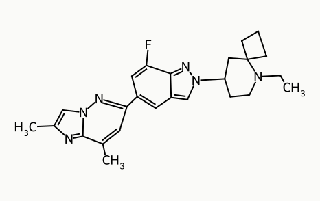 CCN1CCC(n2cc3cc(-c4cc(C)c5nc(C)cn5n4)cc(F)c3n2)CC12CCC2